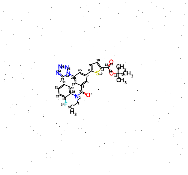 CCN(C(=O)c1cc(-c2ccc(C(=O)OC(C)(C)C)s2)cc(-n2cnnn2)c1)c1ccccc1F